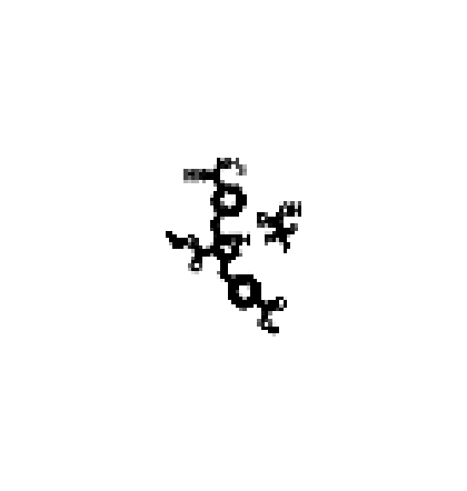 CCOC(=O)c1c(Cc2ccc(C(=O)OC)cc2)c[nH]c1Cc1cccc(C(=N)N)c1.O=C(O)C(F)(F)F